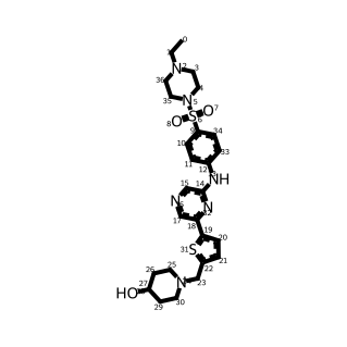 CCN1CCN(S(=O)(=O)c2ccc(Nc3cncc(-c4ccc(CN5CCC(O)CC5)s4)n3)cc2)CC1